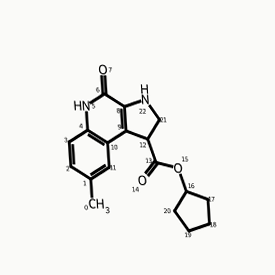 Cc1ccc2[nH]c(=O)c3c(c2c1)C(C(=O)OC1CCCC1)CN3